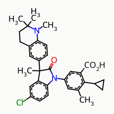 Cc1cc(N2C(=O)C(C)(c3ccc4c(c3)CCC(C)(C)N4C)c3cc(Cl)ccc32)cc(C(=O)O)c1C1CC1